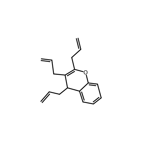 C=CCC1=C(CC=C)C(CC=C)c2ccccc2O1